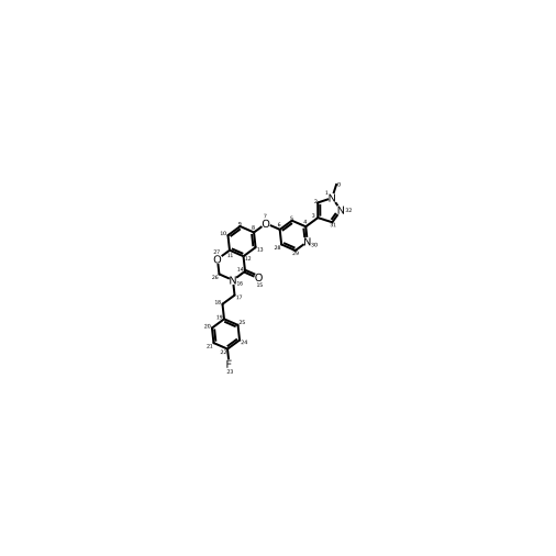 Cn1cc(-c2cc(Oc3ccc4c(c3)C(=O)N(CCc3ccc(F)cc3)CO4)ccn2)cn1